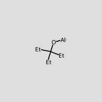 CCC(CC)(CC)[O][Al]